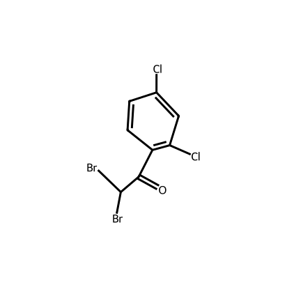 O=C(c1ccc(Cl)cc1Cl)C(Br)Br